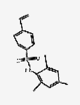 C=Cc1ccc(S(=O)(=O)Nc2c(C)cc(C)cc2C)cc1